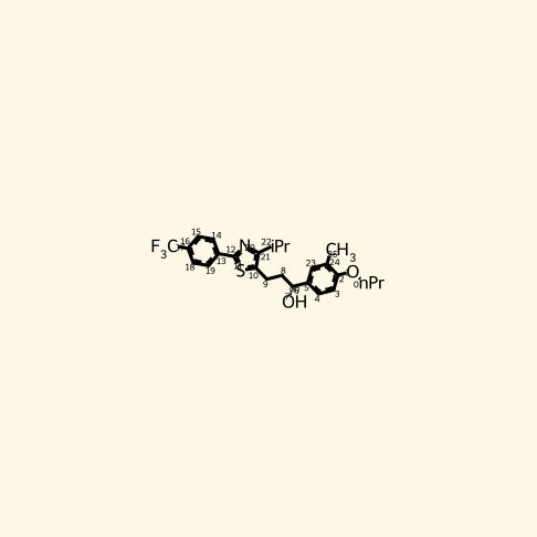 CCCOc1ccc([C@H](O)CCc2sc(-c3ccc(C(F)(F)F)cc3)nc2C(C)C)cc1C